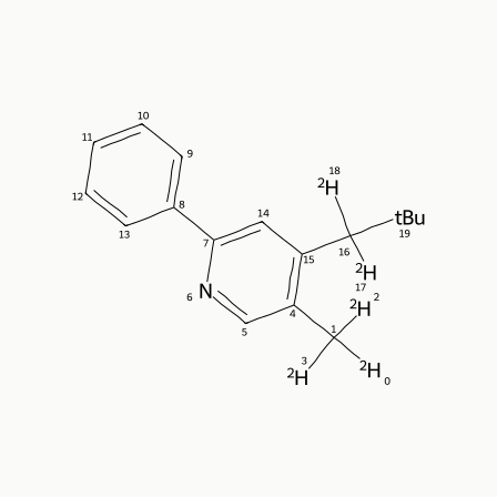 [2H]C([2H])([2H])c1cnc(-c2ccccc2)cc1C([2H])([2H])C(C)(C)C